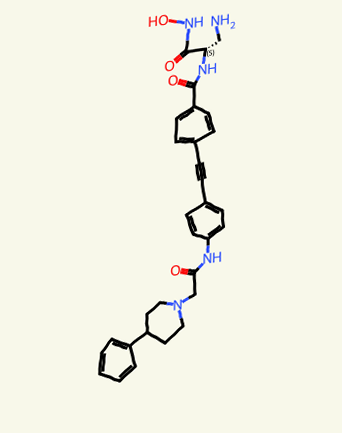 NC[C@H](NC(=O)c1ccc(C#Cc2ccc(NC(=O)CN3CCC(c4ccccc4)CC3)cc2)cc1)C(=O)NO